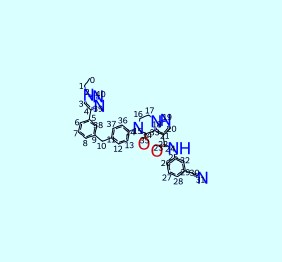 CCn1cc(-c2cccc(Cc3ccc(N4CCn5ncc(C(=O)Nc6cccc(C#N)c6)c5C4=O)cc3)c2)nn1